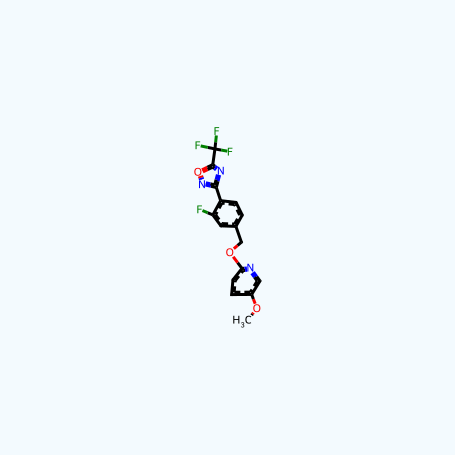 COc1ccc(OCc2ccc(-c3noc(C(F)(F)F)n3)c(F)c2)nc1